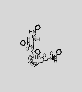 C[Si](C)(CCCC(CCNC(=O)Nc1ccccc1)C(=O)Nc1ccccc1)O[Si](C)(C)O[Si](C)(C)CCCN(CCNOCNc1ccccc1)C(=O)Nc1ccccc1